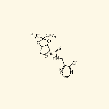 CC1(C)OC2CS[C@@H](C(=S)NCc3nccnc3Cl)C2O1